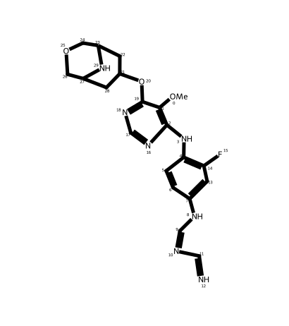 COc1c(Nc2ccc(N/C=N\C=N)cc2F)ncnc1OC1CC2COCC(C1)N2